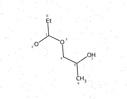 CCC([O])OCC(C)O